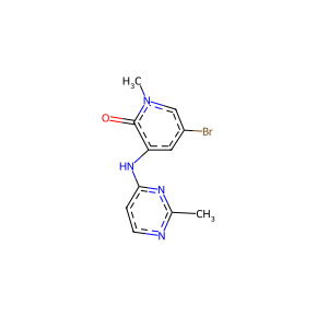 Cc1nccc(Nc2cc(Br)cn(C)c2=O)n1